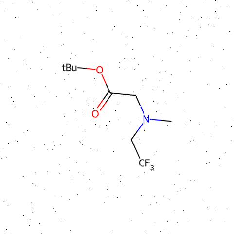 CN(CC(=O)OC(C)(C)C)CC(F)(F)F